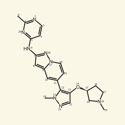 Cc1nccc(Nc2cc3cc(-c4c(O[C@H]5CCN(C)C5)cnn4C)ccn3n2)n1